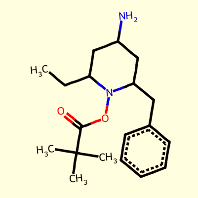 CCC1CC(N)CC(Cc2ccccc2)N1OC(=O)C(C)(C)C